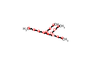 COCCCOCCCOCCCOCC(COCC(COCCCOCCCOC)OCCCOCCCOC)OCCCOCCCOC